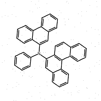 c1ccc(N(c2cc3ccccc3c3ccccc23)c2cc3ccccc3c3c2ccc2ccccc23)cc1